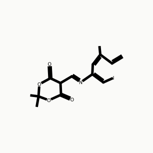 C=C\C(C)=C/C(=C\I)/N=C/C1C(=O)OC(C)(C)OC1=O